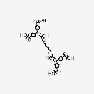 CC(C)(O)C(=O)c1ccc(C(OCC(O)COCCCCCCOCC(O)COC(c2ccc(C(=O)C(C)(C)O)cc2)c2ccc(C(=O)C(C)(C)O)cc2)c2ccc(C(=O)C(C)(C)O)cc2)cc1